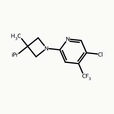 CC(C)C1(C)CN(c2cc(C(F)(F)F)c(Cl)cn2)C1